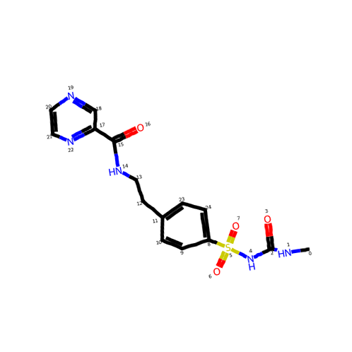 CNC(=O)NS(=O)(=O)c1ccc(CCNC(=O)c2cnccn2)cc1